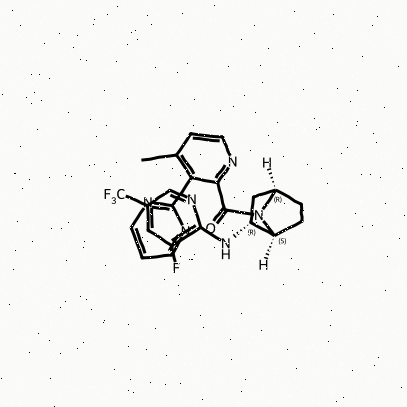 Cc1ccnc(C(=O)N2[C@@H]3CC[C@H]2[C@H](Nc2ncc(C(F)(F)F)cc2F)C3)c1-c1ncccn1